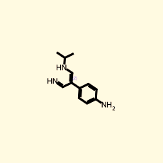 CC(C)N/C=C(\C=N)c1ccc(N)cc1